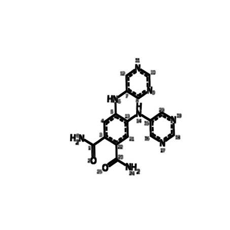 NC(=O)c1cc(Nc2cncnc2)c(Nc2cncnc2)cc1C(N)=O